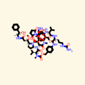 CC[C@H](C)[C@@H]([C@@H](CC(=O)N1CCC[C@H]1[C@@H](CC(=O)N[C@H](C)[C@@H](O)c1ccccc1)OC)OC)N(C)C(=O)[C@H](NC(=O)[C@H](C(C)C)N(C)C(=O)OCc1ccc(NC(=O)[C@@H](CCCNC(N)=O)NC(=O)[C@@H](NC23CCCCC(N4C(=O)C=CC4=O)(CC2)C3(O)CN)C(C)C)cc1)C(C)C